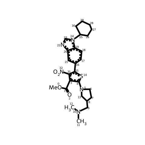 COC(=O)c1c(N2CCC(CN(C)C)C2)sc(-c2ccc3c(c2)ncn3C2CCCCC2)c1[N+](=O)[O-]